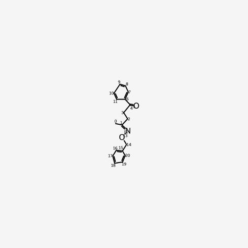 C/C(CCC(=O)c1ccccc1)=N\OCc1ccccc1